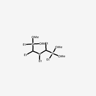 CCC(N(CC)C(CC)[Si](CC)(OC)OC)[Si](CC)(OC)OC